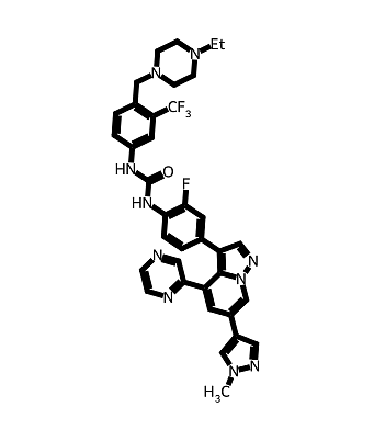 CCN1CCN(Cc2ccc(NC(=O)Nc3ccc(-c4cnn5cc(-c6cnn(C)c6)cc(-c6cnccn6)c45)cc3F)cc2C(F)(F)F)CC1